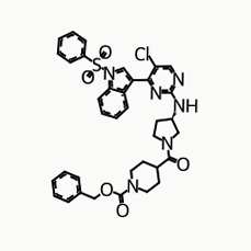 O=C(OCc1ccccc1)N1CCC(C(=O)N2CC[C@@H](Nc3ncc(Cl)c(-c4cn(S(=O)(=O)c5ccccc5)c5ccccc45)n3)C2)CC1